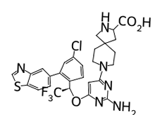 Nc1nc(O[C@H](c2ccc(Cl)cc2-c2ccc3scnc3c2)C(F)(F)F)cc(N2CCC3(CC2)CNC(C(=O)O)C3)n1